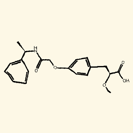 CO[C@@H](Cc1ccc(OCC(=O)N[C@H](C)c2ccccc2)cc1)C(=O)O